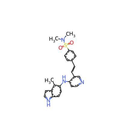 Cc1c(Nc2ccncc2/C=C/c2ccc(S(=O)(=O)N(C)C)cc2)ccc2[nH]ccc12